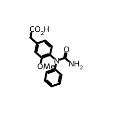 COc1cc(CC(=O)O)ccc1N(C(N)=O)c1ccccc1